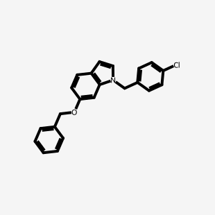 Clc1ccc(Cn2ccc3ccc(OCc4ccccc4)cc32)cc1